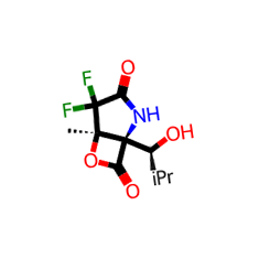 CC(C)[C@H](O)[C@@]12NC(=O)C(F)(F)[C@]1(C)OC2=O